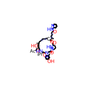 CC(=O)CC[C@H]1C(=O)N[C@@H](C(C)C)C(=O)N[C@@H](Cc2cccc(O)c2)C(=O)N2CCCC(N2)C(=O)O[C@H](/C(C)=C/C=C/C(=O)Nc2ccccn2)C/C=C/C=C/C[C@H](C)[C@H]1O